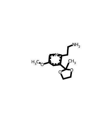 COc1cnc(CCN)c(C2(C)OCCO2)c1